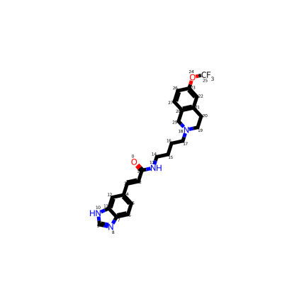 O=C(C=Cc1ccc2nc[nH]c2c1)NCCCCN1CCc2cc(OC(F)(F)F)ccc2C1